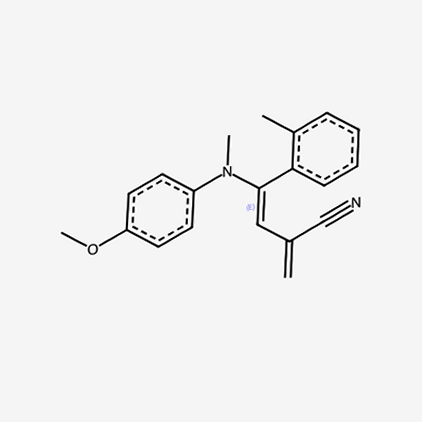 C=C(C#N)/C=C(\c1ccccc1C)N(C)c1ccc(OC)cc1